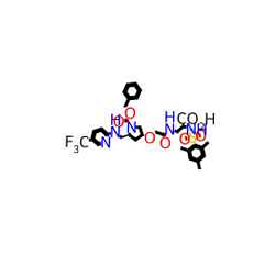 Cc1cc(C)c(S(=O)(=O)N[C@@H](CNC(=O)CO[C@@H]2C[C@@H](CNc3ccc(C(F)(F)F)cn3)N(C(=O)OCc3ccccc3)C2)C(=O)O)c(C)c1